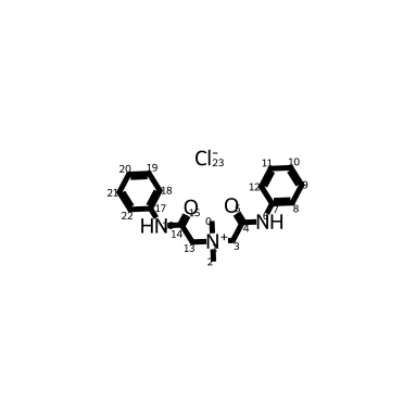 C[N+](C)(CC(=O)Nc1ccccc1)CC(=O)Nc1ccccc1.[Cl-]